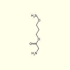 NCC(=O)OCCCO[SiH3]